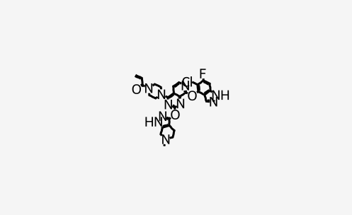 C=CC(=O)N1CCN(c2nc(Oc3n[nH]c4c3CCN(C)C4)nc3c(Oc4c(Cl)c(F)cc5[nH]ncc45)nccc23)CC1